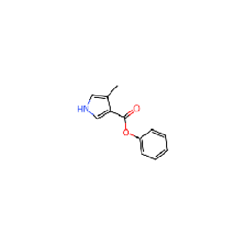 Cc1c[nH]cc1C(=O)Oc1ccccc1